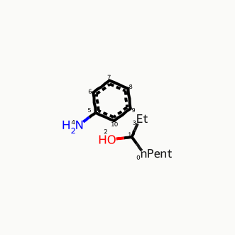 CCCCCC(O)CC.Nc1ccccc1